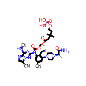 CCNc1nc(N(C(=O)OCOC(=O)CC(C)(C)CCOP(=O)(O)O)c2cc(C#N)cc(N3CCN([C@@H](C)C(N)=O)CC3)c2CI)nn2c(C#N)cnc12